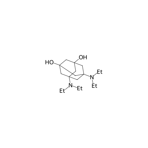 CCN(CC)C12CC3(O)CC(O)(C1)CC(N(CC)CC)(C3)C2